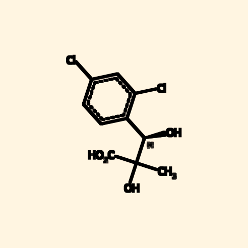 CC(O)(C(=O)O)[C@H](O)c1ccc(Cl)cc1Cl